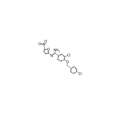 NC(=Nc1ccc([N+](=O)[O-])o1)c1ccc(OCc2ccc(Cl)cc2)c(Cl)c1